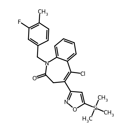 Cc1ccc(CN2C(=O)CC(c3cc([Si](C)(C)C)on3)=C(Cl)c3ccccc32)cc1F